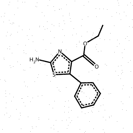 CCOC(=O)c1nc(N)sc1-c1ccccc1